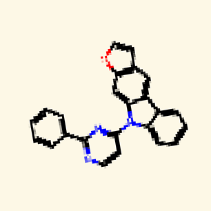 c1ccc(-c2nccc(-n3c4ccccc4c4cc5ccoc5cc43)n2)cc1